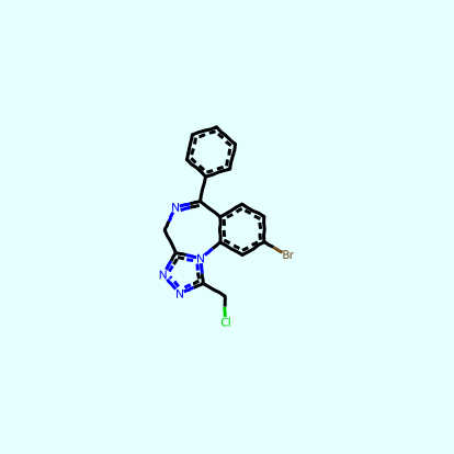 ClCc1nnc2n1-c1cc(Br)ccc1C(c1ccccc1)=NC2